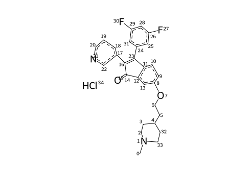 CN1CCC(CCOc2ccc3c(c2)C(=O)C(c2cccnc2)=C3c2cc(F)cc(F)c2)CC1.Cl